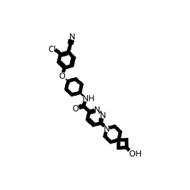 N#Cc1ccc(O[C@H]2CC[C@H](NC(=O)c3ccc(N4CCC5(CC4)CC(O)C5)nn3)CC2)cc1Cl